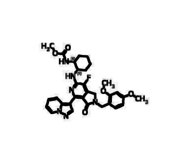 COC(=O)N[C@H]1CCCC[C@H]1Nc1nc(-c2cnn3ccccc23)c2c(c1F)CN(Cc1ccc(OC)cc1OC)C2=O